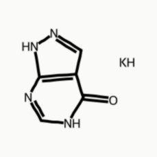 O=c1[nH]cnc2[nH]ncc12.[KH]